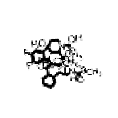 COC(=O)NCCc1ccccc1-c1onc([C@H]2C(C(C)(C)C)N(C(=O)O)CC[C@]2(O)c2ccc(F)c(F)c2)c1C(C)=O